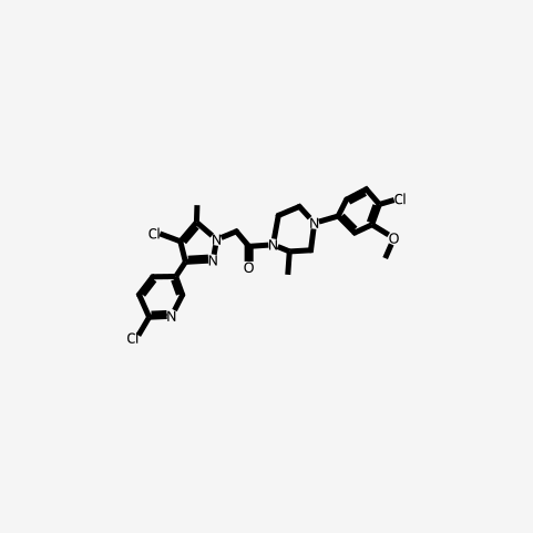 COc1cc(N2CCN(C(=O)Cn3nc(-c4ccc(Cl)nc4)c(Cl)c3C)C(C)C2)ccc1Cl